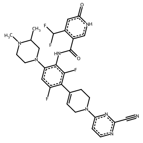 CC1CN(c2cc(F)c(C3=CCN(c4ccnc(C#N)n4)CC3)c(F)c2NC(=O)c2c[nH]c(=O)cc2C(F)F)CCN1C